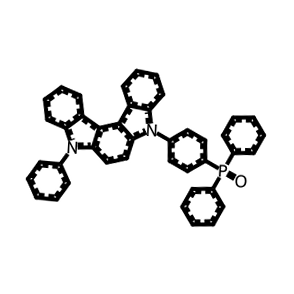 O=P(c1ccccc1)(c1ccccc1)c1ccc(-n2c3ccccc3c3c4c5ccccc5n(-c5ccccc5)c4ccc32)cc1